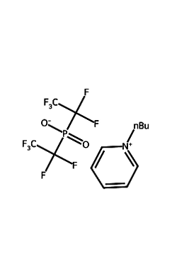 CCCC[n+]1ccccc1.O=P([O-])(C(F)(F)C(F)(F)F)C(F)(F)C(F)(F)F